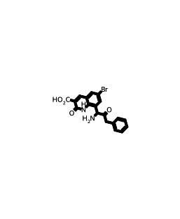 NC(C(=O)Cc1ccccc1)c1cc(Br)cc2cc(C(=O)O)c(=O)[nH]c12